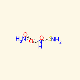 CC(C)(CCNC(=O)CCCSN)OCC(C)(C)C(N)=O